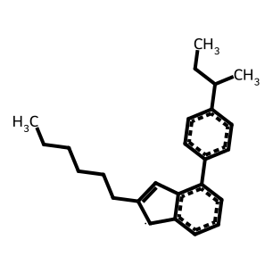 CCCCCCC1=Cc2c(cccc2-c2ccc(C(C)CC)cc2)[CH]1